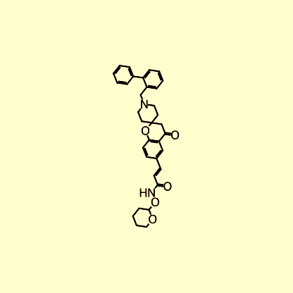 O=C(C=Cc1ccc2c(c1)C(=O)CC1(CCN(Cc3ccccc3-c3ccccc3)CC1)O2)NOC1CCCCO1